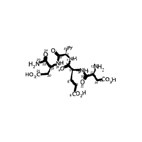 CC(C)[C@H](NC(=O)[C@H](CCC(=O)O)NC(=O)[C@@H](N)CC(=O)O)C(=O)N[C@@H](CC(=O)O)C(N)=O